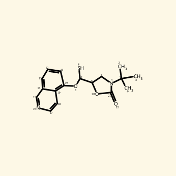 CC(C)(C)N1CC(C(S)Oc2cccc3cnccc23)OC1=O